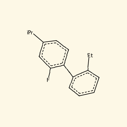 CCc1ccccc1-c1ccc(C(C)C)cc1F